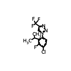 CC(C)c1c(-n2cc(C(F)(F)F)nn2)ccc(Cl)c1F